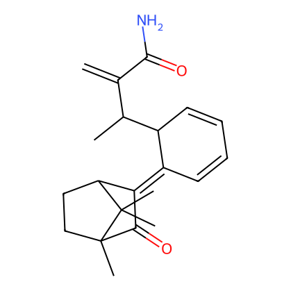 C=C(C(N)=O)C(C)C1C=CC=CC1=C1C(=O)C2(C)CCC1C2(C)C